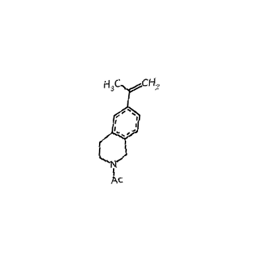 C=C(C)c1ccc2c(c1)CCN(C(C)=O)C2